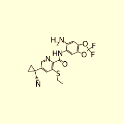 CCSc1cc(C2(C#N)CC2)cnc1C(=O)Nc1cc2c(cc1N)OC(F)(F)O2